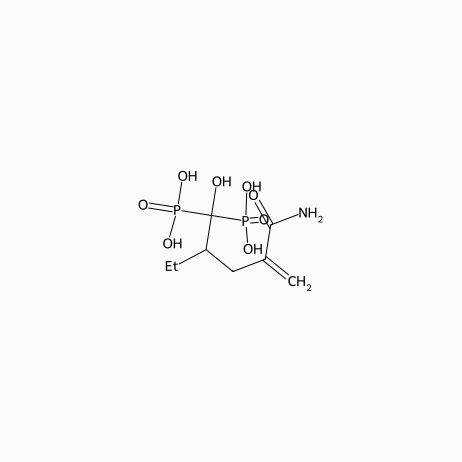 C=C(CC(CC)C(O)(P(=O)(O)O)P(=O)(O)O)C(N)=O